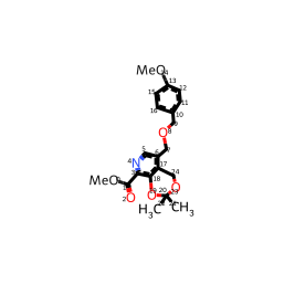 COC(=O)c1ncc(COCc2ccc(OC)cc2)c2c1OC(C)(C)OC2